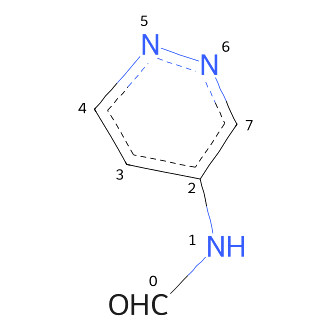 O=CNc1ccnnc1